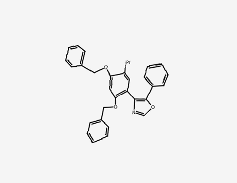 CC(C)c1cc(-c2ncoc2-c2ccccc2)c(OCc2ccccc2)cc1OCc1ccccc1